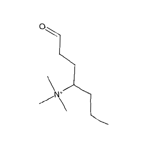 CCCC(CCC=O)[N+](C)(C)C